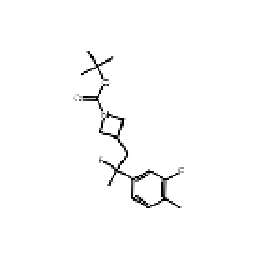 Cc1ccc(C(C)(F)CC2CN(C(=O)OC(C)(C)C)C2)cc1F